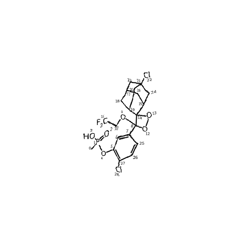 CP(=O)(O)Oc1cc(C2(OCC(F)(F)F)OOC23C2CC4CC3CC(Cl)(C4)C2)ccc1Cl